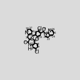 O=C1Nc2cc(Cl)ccc2C(=O)N(Cc2ccc(C(=O)n3ccc4cccnc43)c(Cl)c2)C1Cc1ccccn1